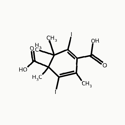 CC1=C(I)C(C)(C(=O)O)C(C)(C)C(I)=C1C(=O)O